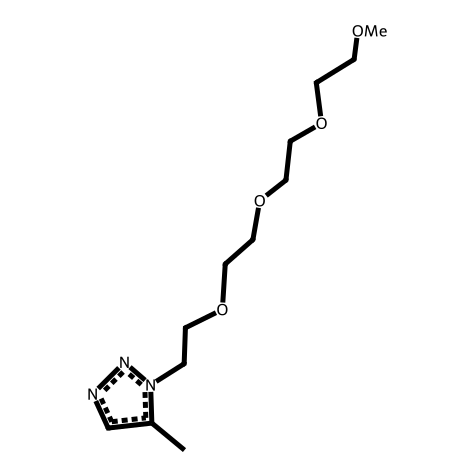 COCCOCCOCCOCCn1nncc1C